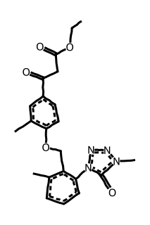 CCOC(=O)CC(=O)c1ccc(OCc2c(C)cccc2-n2nnn(C)c2=O)c(C)c1